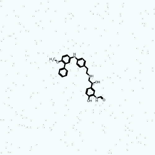 COc1ccc(Nc2ccc(CCNC[C@@H](O)c3ccc(O)c(NC=O)c3)cc2)cc1-c1ccccc1